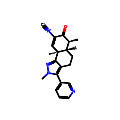 [C-]#[N+]C1=C[C@]2(C)c3nn(C)c(-c4cccnc4)c3CC[C@H]2[C@H](C)C1=O